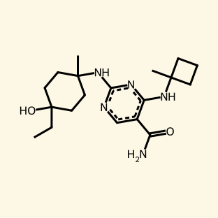 CCC1(O)CCC(C)(Nc2ncc(C(N)=O)c(NC3(C)CCC3)n2)CC1